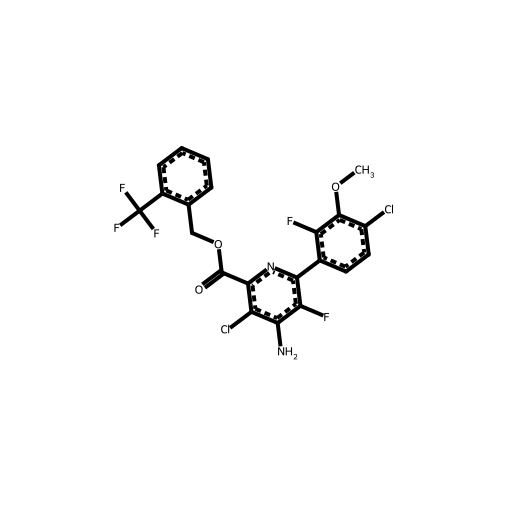 COc1c(Cl)ccc(-c2nc(C(=O)OCc3ccccc3C(F)(F)F)c(Cl)c(N)c2F)c1F